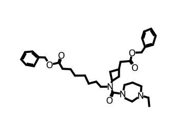 CCN1CCCN(C(=O)N(CCCCCCCC(=O)OCc2ccccc2)C2CC(CC(=O)OCc3ccccc3)C2)CC1